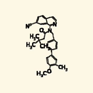 COc1ccc(-c2ccc(CN(C(=O)CC(C)(C)C)c3nccc4ccc(C#N)cc34)cc2)cc1C